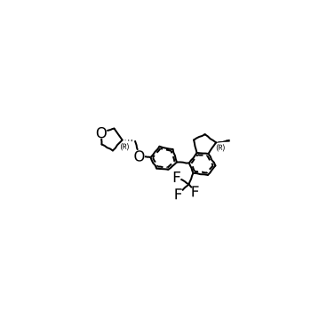 C[C@@H]1CCc2c1ccc(C(F)(F)F)c2-c1ccc(OC[C@@H]2CCOC2)cc1